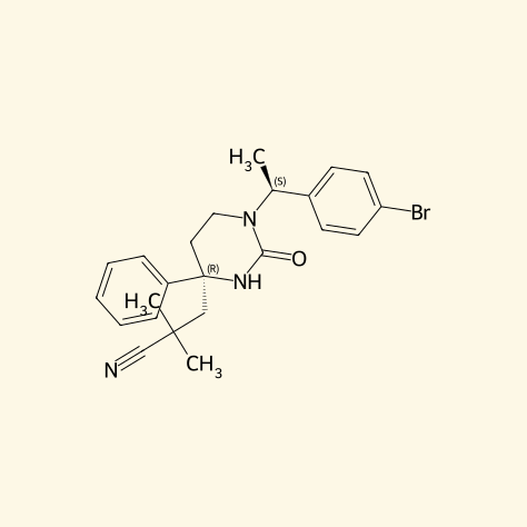 C[C@@H](c1ccc(Br)cc1)N1CC[C@](CC(C)(C)C#N)(c2ccccc2)NC1=O